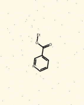 CCOC(=O)C1=CC=C[N+]=C1